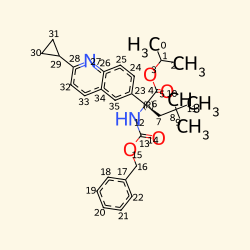 CC(C)OC(=O)[C@](CC(C)(C)C)(NC(=O)OCc1ccccc1)c1ccc2nc(C3CC3)ccc2c1